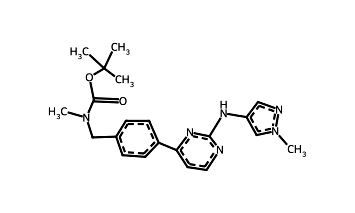 CN(Cc1ccc(-c2ccnc(Nc3cnn(C)c3)n2)cc1)C(=O)OC(C)(C)C